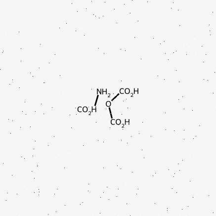 NC(=O)O.O=C(O)OC(=O)O